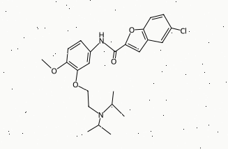 COc1ccc(NC(=O)c2cc3cc(Cl)ccc3o2)cc1OCCN(C(C)C)C(C)C